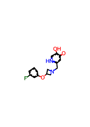 O=c1cc(CN2CC(Oc3cccc(F)c3)C2)[nH]cc1O